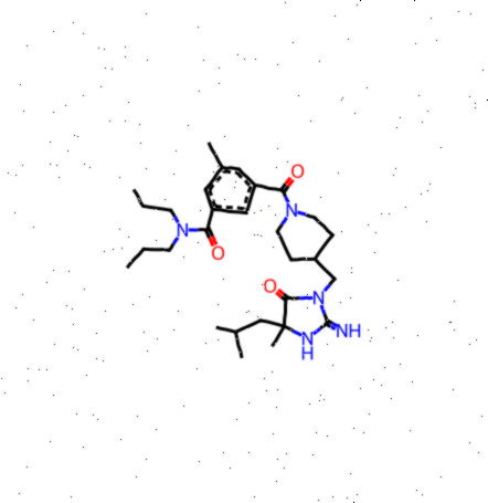 CCCN(CCC)C(=O)c1cc(C)cc(C(=O)N2CCC(CN3C(=N)NC(C)(CC(C)C)C3=O)CC2)c1